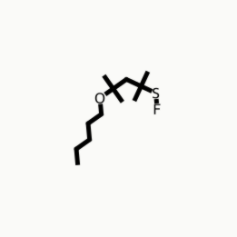 CCCCCOC(C)(C)CC(C)(C)SF